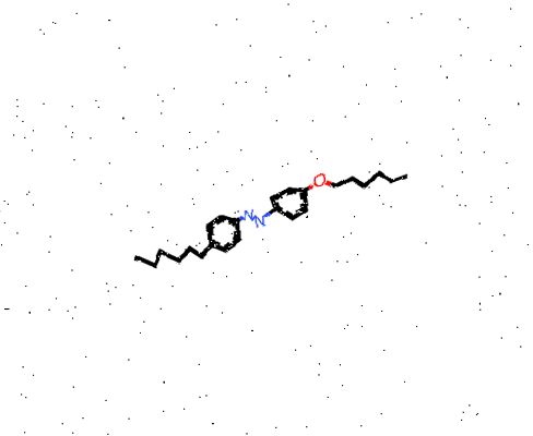 CCCCCCOc1ccc(N=Nc2ccc(CCCCCC)cc2)cc1